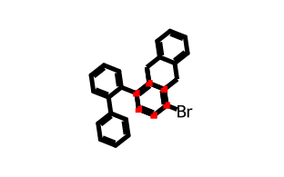 Brc1ccc(-c2ccccc2-c2ccccc2)c2c1C1c3ccccc3C2c2ccccc21